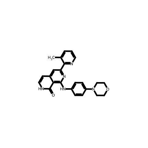 Cc1cccnc1-c1cc2cc[nH]c(=O)c2c(Nc2ccc(N3CCOCC3)cc2)n1